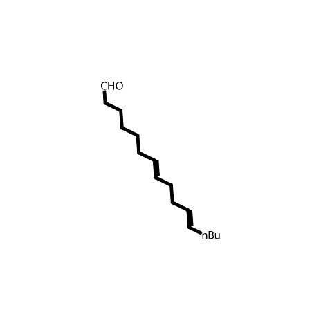 CCCCC=CCCC=CCCCCCC=O